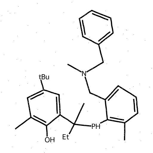 CCC(C)(Pc1c(C)cccc1CN(C)Cc1ccccc1)c1cc(C(C)(C)C)cc(C)c1O